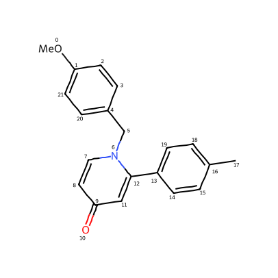 COc1ccc(Cn2ccc(=O)cc2-c2ccc(C)cc2)cc1